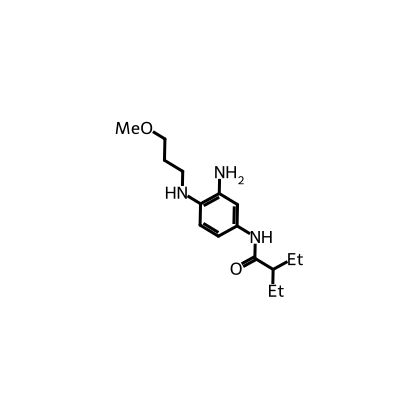 CCC(CC)C(=O)Nc1ccc(NCCCOC)c(N)c1